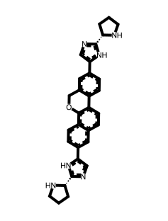 c1cc2c(cc1-c1cnc([C@@H]3CCCN3)[nH]1)COc1c-2ccc2cc(-c3cnc([C@@H]4CCCN4)[nH]3)ccc12